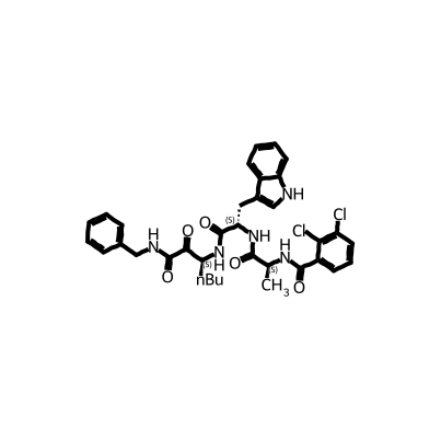 CCCC[C@H](NC(=O)[C@H](Cc1c[nH]c2ccccc12)NC(=O)[C@H](C)NC(=O)c1cccc(Cl)c1Cl)C(=O)C(=O)NCc1ccccc1